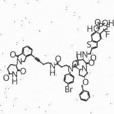 CC(C)(C)[C@H](NC(=O)c1cc2cc(C(F)(F)P(=O)(O)O)ccc2s1)C(=O)N1C[C@H](OCc2ccccc2)C[C@H]1C(=O)N(CCC(=O)NCCC#Cc1cccc2c1CN(C1CCC(=O)NC1=O)C2=O)c1ccc(Br)cc1